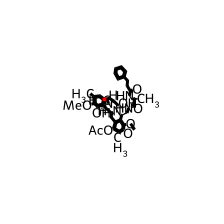 COc1c(C)cc2c(c1O)[C@H]1C3Cc4c(OC(C)=O)c(C)c5c(c4[C@H](CNC(=O)[C@H](C)NC(=O)CCc4ccccc4)N3C(O)[C@@H](C2)N1C)OCO5